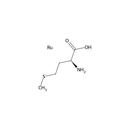 CSCC[C@H](N)C(=O)O.[Ru]